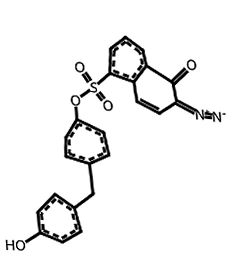 [N-]=[N+]=C1C=Cc2c(cccc2S(=O)(=O)Oc2ccc(Cc3ccc(O)cc3)cc2)C1=O